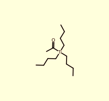 CCC[CH2][Ti]([CH2]CCC)([CH2]CCC)[C](C)=O